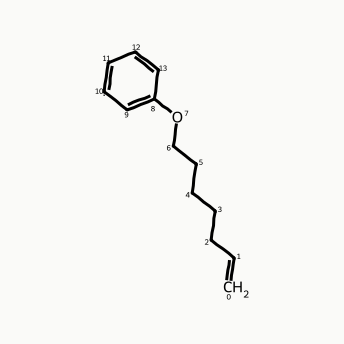 C=CCCCCCOc1c[c]ccc1